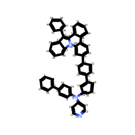 c1ccc(-c2ccc(N(c3ccncc3)c3cccc(-c4ccc(-c5ccc6c7ccccc7c7c(-c8ccccc8)c8ccccc8n7c6c5)cc4)c3)cc2)cc1